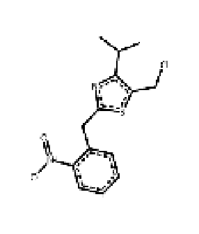 CC(C)c1nc(Cc2cc[c]cc2[N+](=O)[O-])sc1CCl